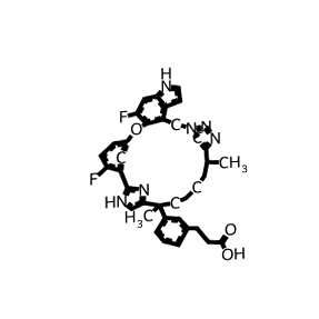 CC1CCCCC(C)(c2cccc(CCC(=O)O)c2)c2c[nH]c(n2)-c2cc(ccc2F)Oc2c(F)cc3[nH]ccc3c2Cn2cc1nn2